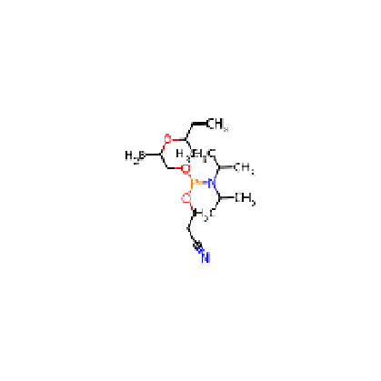 BC(COP(OCCC#N)N(C(C)C)C(C)C)OC(C)CC